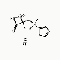 C[C]1(C[Si](C)(C)C2=CC=CC2)[Zr+2][NH]C1=O.[Cl-].[Cl-]